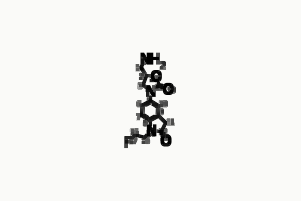 NC[C@@H]1CN(c2ccc3c(c2)CC(=O)N3CCF)C(=O)O1